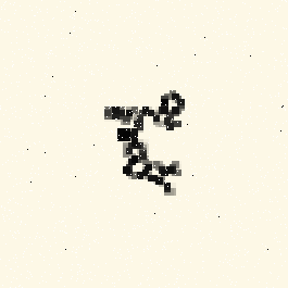 O=C(O)/C(Cc1c[nH]c2ccccc12)=N\Nc1nc2c(s1)CCc1cc(Cl)c(Cl)cc1-2